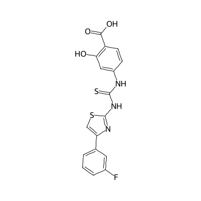 O=C(O)c1ccc(NC(=S)Nc2nc(-c3cccc(F)c3)cs2)cc1O